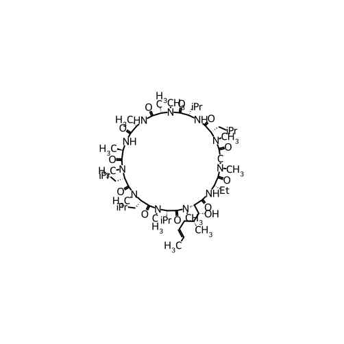 C/C=C/C[C@@H](C)[C@@H](O)[C@H]1C(=O)N[C@@H](CC)C(=O)N(C)CC(=O)N(C)[C@@H](CC(C)C)C(=O)N[C@@H](C(C)C)C(=O)N(C)[C@@H](C)C(=O)N[C@@H](C)C(=O)N[C@H](C)C(=O)N(C)[C@@H](CC(C)C)C(=O)N(C)[C@@H](CC(C)C)C(=O)N(C)[C@@H](C(C)C)C(=O)N1C